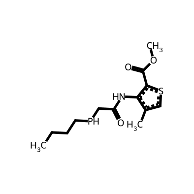 CCCCPCC(=O)Nc1c(C)csc1C(=O)OC